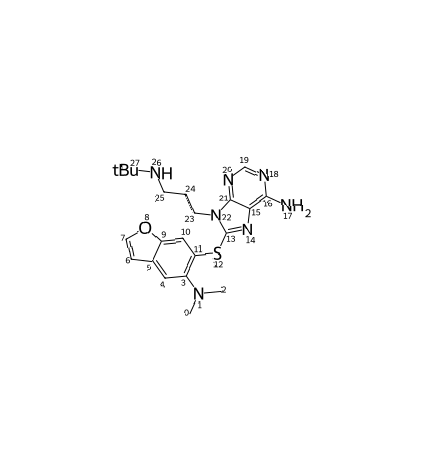 CN(C)c1cc2ccoc2cc1Sc1nc2c(N)ncnc2n1CCCNC(C)(C)C